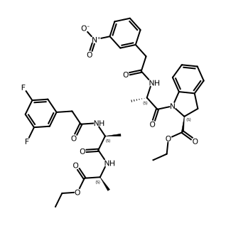 CCOC(=O)[C@@H]1Cc2ccccc2N1C(=O)[C@H](C)NC(=O)Cc1cccc([N+](=O)[O-])c1.CCOC(=O)[C@H](C)NC(=O)[C@H](C)NC(=O)Cc1cc(F)cc(F)c1